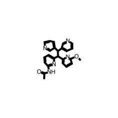 COc1cccc(C(c2cccc(NC(C)=O)n2)C(c2cccnc2)c2cccnc2)n1